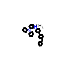 CN(c1ccc(-c2ccc(Cc3ccccc3)cc2)cc1)c1cccc(N(c2ccccc2)c2ccccc2)c1